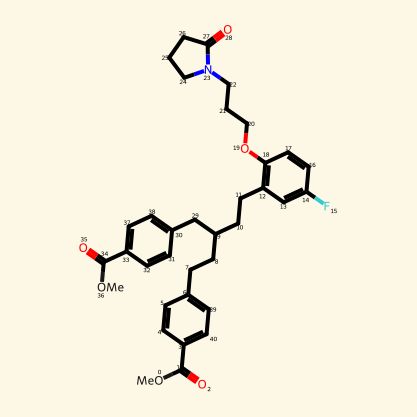 COC(=O)c1ccc(CCC(CCc2cc(F)ccc2OCCCN2CCCC2=O)Cc2ccc(C(=O)OC)cc2)cc1